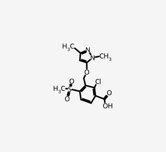 Cc1cc(OCc2c(S(C)(=O)=O)ccc(C(=O)O)c2Cl)n(C)n1